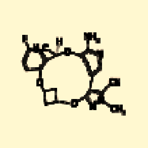 C[C@H]1Oc2cc(cnc2N)-c2c(nn(C)c2C#N)OC2CC(C2)Oc2ccc(F)cc21